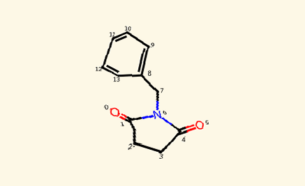 O=C1[CH]CC(=O)N1Cc1ccccc1